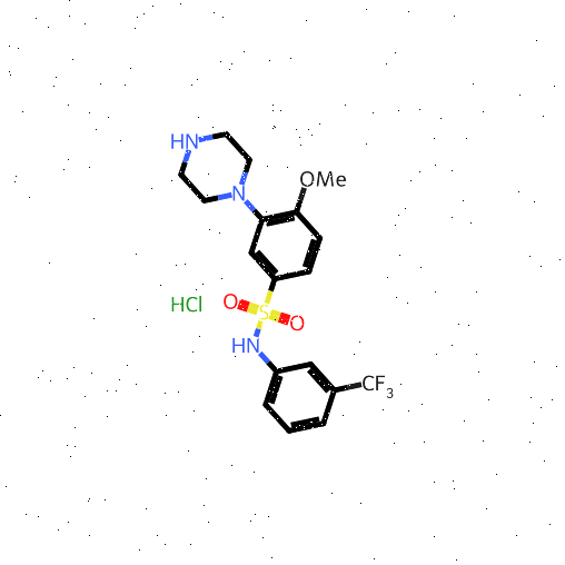 COc1ccc(S(=O)(=O)Nc2cccc(C(F)(F)F)c2)cc1N1CCNCC1.Cl